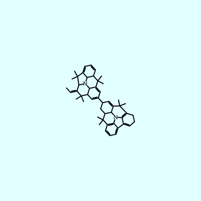 C/C=C1\C2N3C4C(=CC=CC4C(C)(C)C4=CC(C5C=C6C7C(C5)C(C)(C)c5cccc8c9c(n7c58)=C(CCC=9)C6(C)C)=CC(C43)C1(C)C)C2(C)C